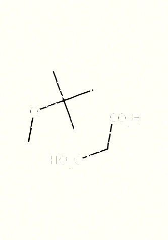 COC(C)(C)C.O=C(O)CC(=O)O